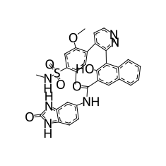 CNS(=O)(=O)c1cc(OC)c(-c2ccnnc2-c2c(O)c(C(=O)Nc3ccc4[nH]c(=O)[nH]c4c3)cc3ccccc23)cc1C